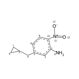 Nc1cc(CC2CC2)ccc1[N+](=O)[O-]